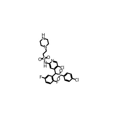 O=S(=O)(CCN1CCNCC1)Nc1cc(C(c2cc(F)ccc2F)S(=O)(=O)c2ccc(Cl)cc2)c(Cl)cn1